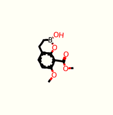 COC(=O)c1c(OC)ccc2c1OB(O)CC2